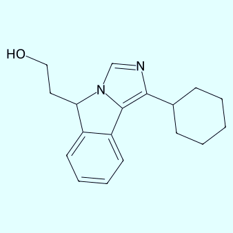 OCCC1c2ccccc2-c2c(C3CCCCC3)ncn21